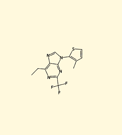 CCc1nc(C(F)(F)F)nc2c1ncn2-c1sccc1C